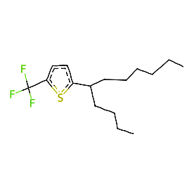 CCCCCCC(CCCC)c1ccc(C(F)(F)F)s1